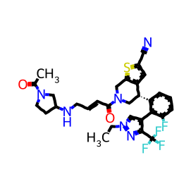 CCn1cc(-c2c(F)cccc2[C@@H]2CN(C(=O)/C=C/CNC3CCN(C(C)=O)C3)Cc3sc(C#N)cc32)c(C(F)(F)F)n1